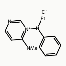 CCN(c1ccccc1)[n+]1cnccc1NC.[Cl-]